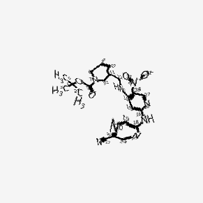 CC(C)(C)OC(=O)N1CCCC(CNc2cc(Nc3cnc(C#N)cn3)ncc2[N+](=O)[O-])C1